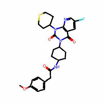 COc1ccc(CC(=O)NC2CCC(n3c(=O)c4cc(F)cnc4n(C4CCSCC4)c3=O)CC2)cc1